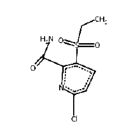 CCS(=O)(=O)c1ccc(Cl)nc1C(N)=O